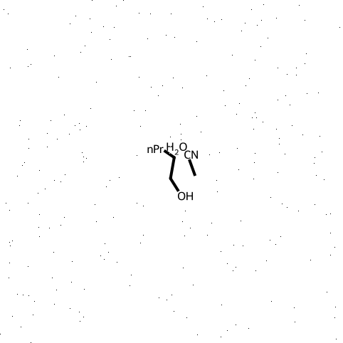 CC#N.CCCCCO.O